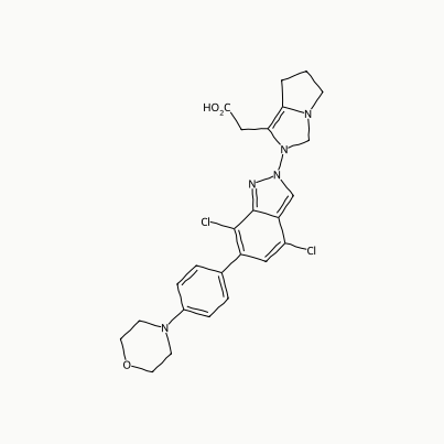 O=C(O)CC1=C2CCCN2CN1n1cc2c(Cl)cc(-c3ccc(N4CCOCC4)cc3)c(Cl)c2n1